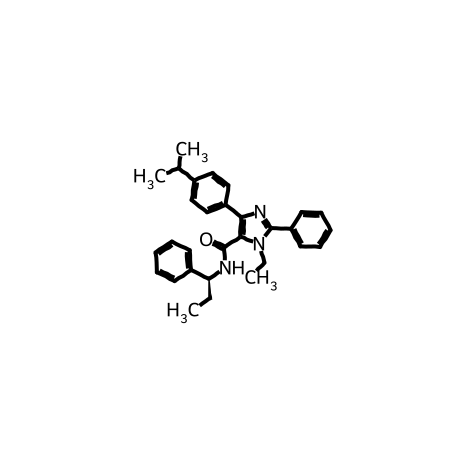 CC[C@H](NC(=O)c1c(-c2ccc(C(C)C)cc2)nc(-c2ccccc2)n1CC)c1ccccc1